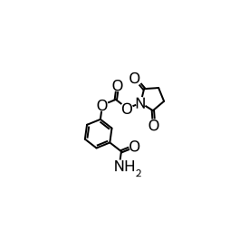 NC(=O)c1cccc(OC(=O)ON2C(=O)CCC2=O)c1